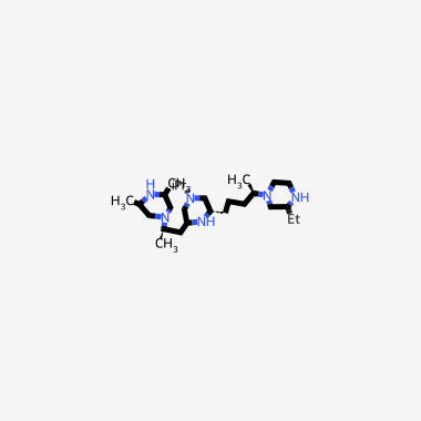 CCC1CN([C@H](C)CCC[C@H]2CN(C(C)C)CC(C[C@H](C)N3CC(C)NC(C)C3)N2)CCN1